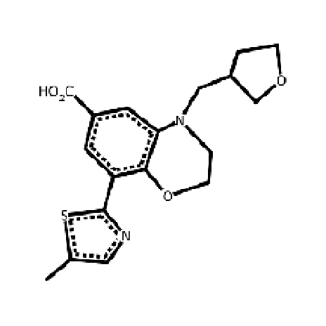 Cc1cnc(-c2cc(C(=O)O)cc3c2OCCN3CC2CCOC2)s1